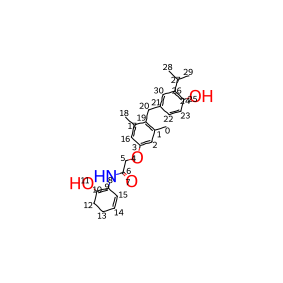 Cc1cc(OCC(=O)NC2=C(O)CCC=C2)cc(C)c1Cc1ccc(O)c(C(C)C)c1